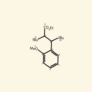 CCOC(=O)C(C(c1ccccc1OC)C(C)(C)C)C(C)(C)C